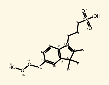 CC1=[N+](CCCS(=O)(=O)O)c2ccc(SOOO)cc2C1(C)C